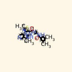 Cc1cc(C)cc(C(=O)NC2CN(C(=O)c3nc(NC(C)c4cccnc4)nc4nc(C)sc34)C2)c1